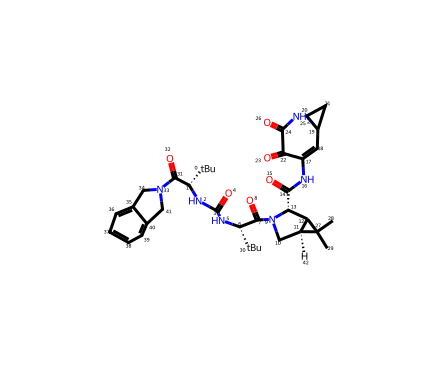 CC(C)(C)[C@H](NC(=O)N[C@H](C(=O)N1C[C@H]2C([C@H]1C(=O)N/C(=C/C1CC1)C(=O)C(N)=O)C2(C)C)C(C)(C)C)C(=O)N1Cc2ccccc2C1